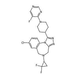 Fc1cncnc1N1CCC(c2nnc3n2-c2ccc(Cl)cc2CN(C2CC2(F)F)C3)CC1